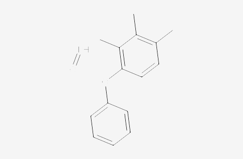 Cc1ccc(Oc2ccccc2)c(C)c1C.O=P